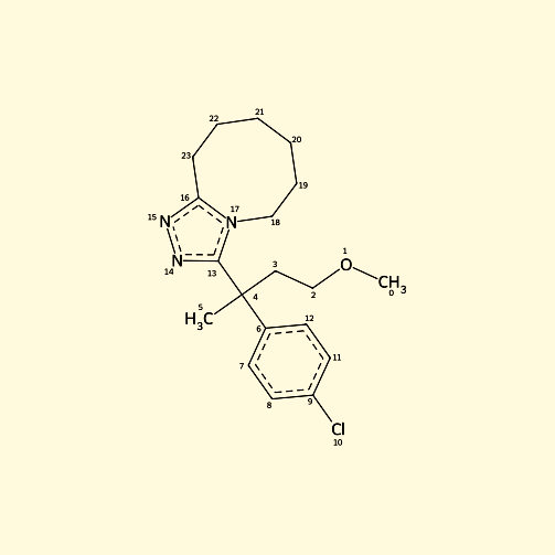 COCCC(C)(c1ccc(Cl)cc1)c1nnc2n1CCCCCC2